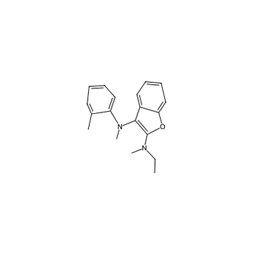 CCN(C)c1oc2ccccc2c1N(C)c1ccccc1C